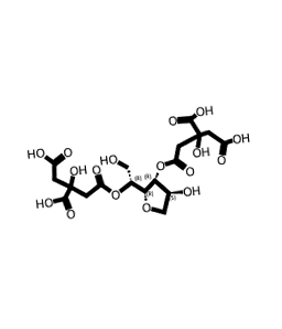 O=C(O)CC(O)(CC(=O)O[C@H]1[C@@H]([C@@H](CO)OC(=O)CC(O)(CC(=O)O)C(=O)O)OC[C@@H]1O)C(=O)O